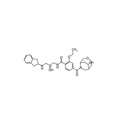 CCOc1cc(C(=O)N2CC3CCOCC2CC3O)ccc1C(=O)NC[C@@H](O)CNC1Cc2ccccc2C1